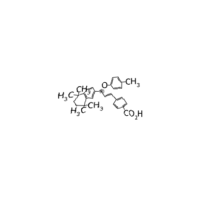 Cc1ccc(O[C@H](C=Cc2ccc(C(=O)O)cc2)c2ccc3c(c2)C(C)(C)CCC3(C)C)cc1